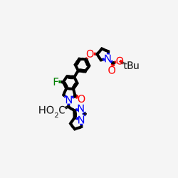 CC(C)(C)OC(=O)N1CCC(Oc2ccc(-c3cc(F)c4c(c3)C(=O)N(C(C(=O)O)c3ncn5c3CCC5)C4)cc2)C1